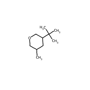 CC1COCC(C(C)(C)C)C1